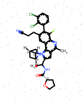 Cc1nc2c(F)c(-c3cccc(Cl)c3Cl)c(CCC#N)cc2c2c1cc(C(C)NC(=O)[C@@H]1CCCO1)n2[C@H]1[C@H]2CN[C@@H]1C2